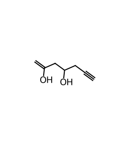 C#CCC(O)CC(=C)O